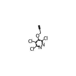 C#CCOc1c(Cl)nnc(Cl)c1Cl